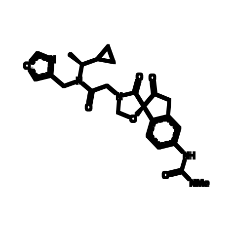 CNC(=O)Nc1ccc2c(c1)CC(=O)[C@]21OCN(CC(=O)N(Cc2cocn2)[C@@H](C)C2CC2)C1=O